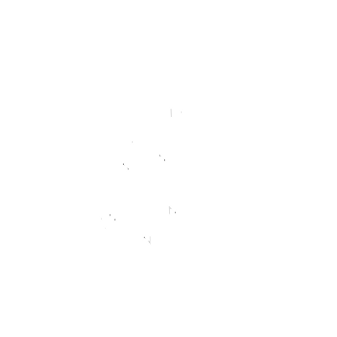 O=CC1ON=C(c2nonc2[N+](=O)[O-])N1c1ccc(F)c(C(F)F)c1